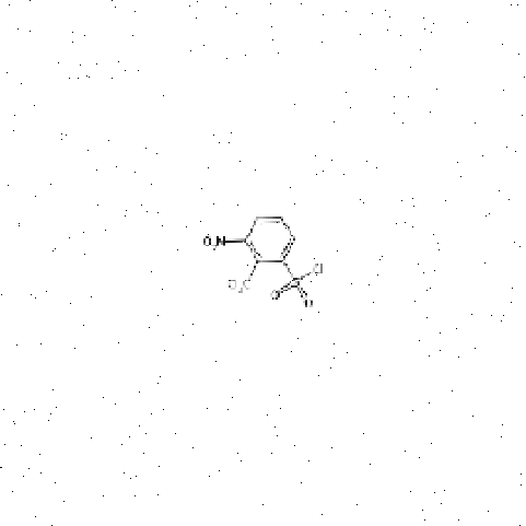 O=[N+]([O-])c1cccc(S(=O)(=O)Cl)c1C(Cl)(Cl)Cl